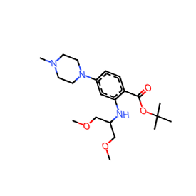 COCC(COC)Nc1cc(N2CCN(C)CC2)ccc1C(=O)OC(C)(C)C